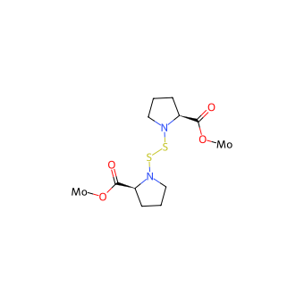 O=C([O][Mo])[C@@H]1CCCN1SSN1CCC[C@H]1C(=O)[O][Mo]